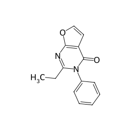 CCc1nc2occc2c(=O)n1-c1ccccc1